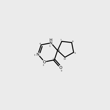 O=C1ON=CNC12CCCC2